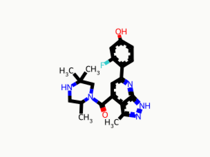 Cc1n[nH]c2nc(-c3ccc(O)cc3F)cc(C(=O)N3CC(C)(C)NCC3C)c12